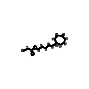 [CH2]CC(=O)OCCCCCC1CCCCCC1